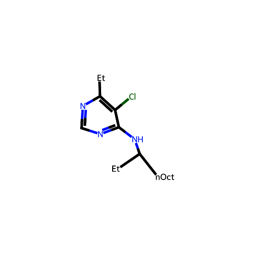 CCCCCCCCC(CC)Nc1ncnc(CC)c1Cl